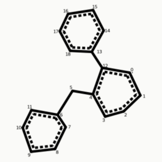 [c]1cccc(Cc2ccccc2)c1-c1ccccc1